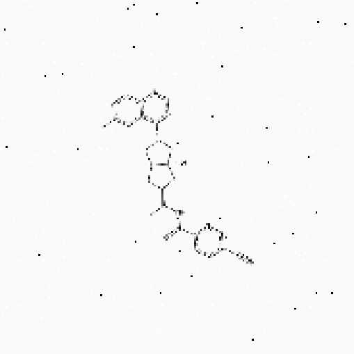 CC(NC(=O)c1ccc(C#N)cn1)[C@H]1CC2CC(c3ccnc4ccc(F)cc34)C[C@H]2C1